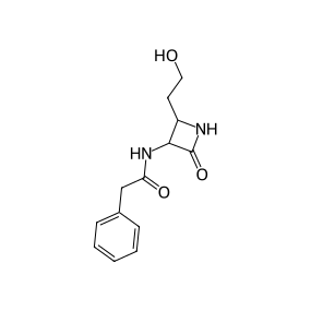 O=C(Cc1ccccc1)NC1C(=O)NC1CCO